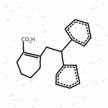 O=C(O)C1=C(CC(c2ccccc2)c2ccccc2)CCCC1